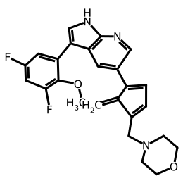 C=C1C(CN2CCOCC2)=CC=C1c1cnc2[nH]cc(-c3cc(F)cc(F)c3OC)c2c1